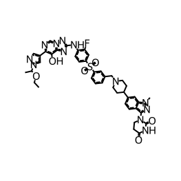 CCOC(C)n1cc(-c2ncn3nc(Nc4ccc(S(=O)(=O)c5cccc(CN6CCC(c7ccc8c(N9CCC(=O)NC9=O)nn(C)c8c7)CC6)c5)cc4F)nc3c2O)cn1